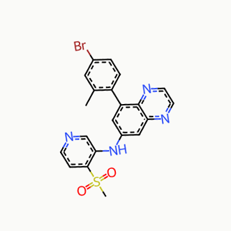 Cc1cc(Br)ccc1-c1cc(Nc2cnccc2S(C)(=O)=O)cc2nccnc12